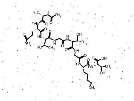 CC(=O)N[C@@H](C)C(=O)N[C@@H](CCC(N)=O)C(=O)N[C@H](C(=O)NCC(=O)N[C@H](C(=O)NCC(=O)N[C@@H](CCCCN)C(=O)N[C@H](C(=O)O)[C@@H](C)O)[C@@H](C)O)[C@@H](C)O